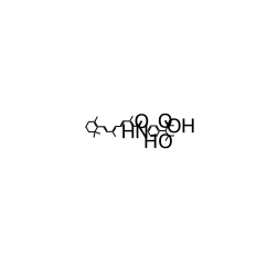 CC(C=CC1=C(C)CCCC1(C)C)=CC=CC(C)=CC(=O)Nc1ccc(C(C(=O)O)C(C)O)cc1